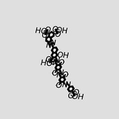 COc1cc(N=Nc2cc(OC)c(N=Nc3c(S(=O)(=O)O)cc4cc(-n5nc6ccc7c(S(=O)(=O)O)cc(S(=O)(=O)O)cc7c6n5)ccc4c3O)cc2OC)c(OC)cc1N=Nc1ccc(S(=O)(=O)O)cc1